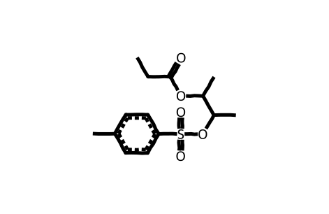 CCC(=O)OC(C)C(C)OS(=O)(=O)c1ccc(C)cc1